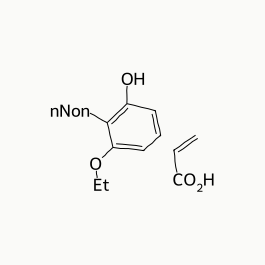 C=CC(=O)O.CCCCCCCCCc1c(O)cccc1OCC